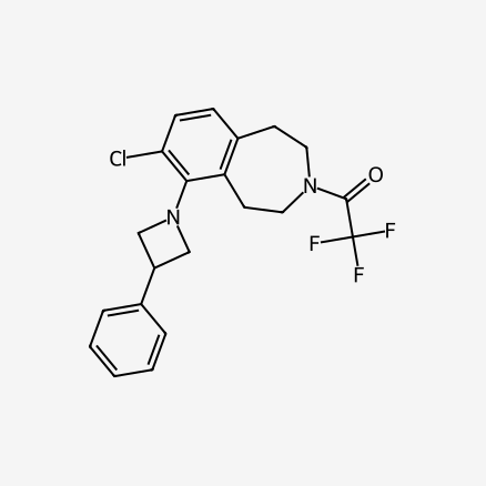 O=C(N1CCc2ccc(Cl)c(N3CC(c4ccccc4)C3)c2CC1)C(F)(F)F